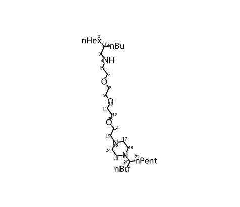 CCCCCCC(CCCC)CNCCOCCOCCOCCN1CCN(C(CCCC)CCCCC)CC1